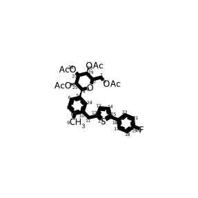 CC(=O)OCC1O[C@@H](c2ccc(C)c(Cc3ccc(-c4ccc(F)cc4)s3)c2)[C@H](OC(C)=O)C(OC(C)=O)[C@@H]1OC(C)=O